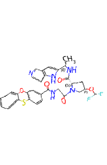 C[C@@H](NC(=O)[C@@H]1C[C@@H](OC(F)F)CN1C(=O)CNC(=O)c1ccc2c(c1)Oc1ccccc1S2)c1cc2cnccc2[nH]1